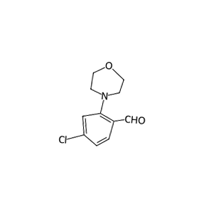 O=Cc1ccc(Cl)cc1N1CCOCC1